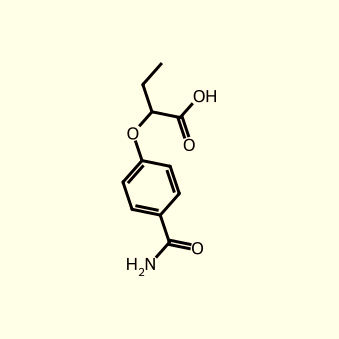 CCC(Oc1ccc(C(N)=O)cc1)C(=O)O